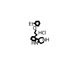 CCc1ccccc1OCCCc1cccc2[nH]c3c(c12)CCNCC3.Cl